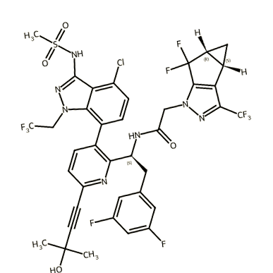 CC(C)(O)C#Cc1ccc(-c2ccc(Cl)c3c(NS(C)(=O)=O)nn(CC(F)(F)F)c23)c([C@H](Cc2cc(F)cc(F)c2)NC(=O)Cn2nc(C(F)(F)F)c3c2C(F)(F)[C@@H]2C[C@H]32)n1